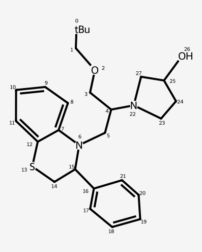 CC(C)(C)COCC(CN1c2ccccc2SCC1c1ccccc1)N1CCC(O)C1